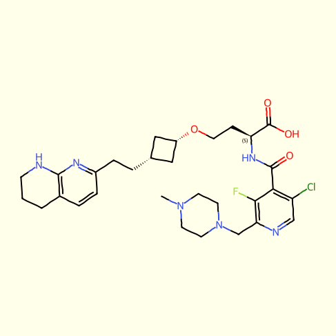 CN1CCN(Cc2ncc(Cl)c(C(=O)N[C@@H](CCO[C@H]3C[C@@H](CCc4ccc5c(n4)NCCC5)C3)C(=O)O)c2F)CC1